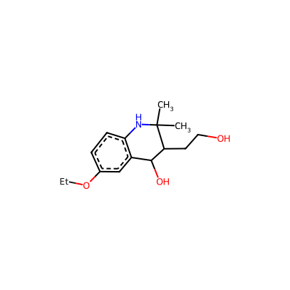 CCOc1ccc2c(c1)C(O)C(CCO)C(C)(C)N2